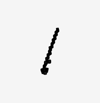 CCCCCCCCCCCCCCCCCC(=O)OCCN1CCOCC1